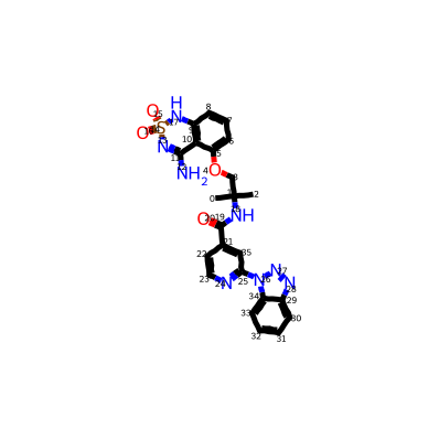 CC(C)(COc1cccc2c1C(N)=NS(=O)(=O)N2)NC(=O)c1ccnc(-n2nnc3ccccc32)c1